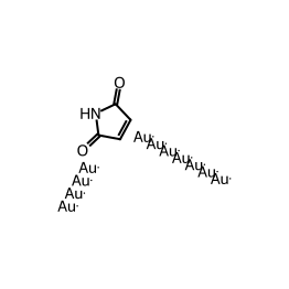 O=C1C=CC(=O)N1.[Au].[Au].[Au].[Au].[Au].[Au].[Au].[Au].[Au].[Au].[Au]